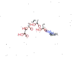 C=C.CC(=O)O.CC(=O)O.CC(=O)O.CC(=O)O.N.N.[NaH]